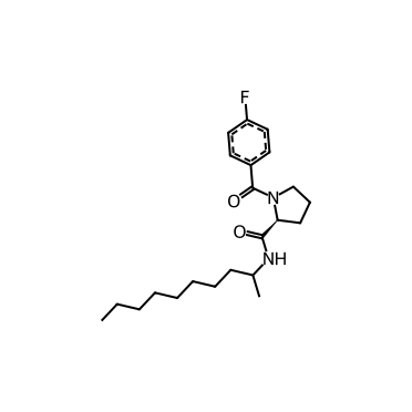 CCCCCCCCC(C)NC(=O)[C@@H]1CCCN1C(=O)c1ccc(F)cc1